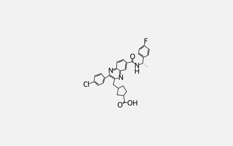 C[C@H](NC(=O)c1ccc2nc(-c3ccc(Cl)cc3)c(CC3CCC(C(=O)O)C3)nc2c1)c1ccc(F)cc1